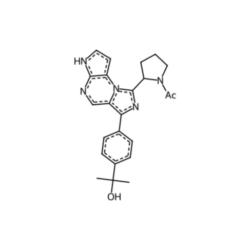 CC(=O)N1CCCC1c1nc(-c2ccc(C(C)(C)O)cc2)c2cnc3[nH]ccc3n12